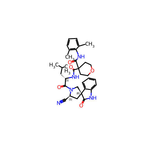 Cc1cccc(C)c1NC(=O)C1(C(=O)N[C@@H](CC(C)C)C(=O)N2C[C@]3(C[C@H]2C#N)C(=O)Nc2ccccc23)CCOCC1